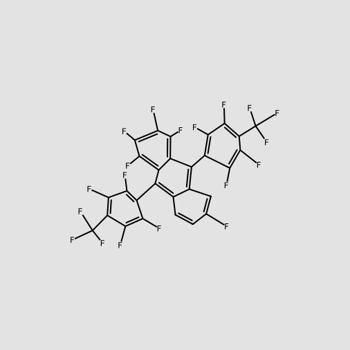 Fc1ccc2c(-c3c(F)c(F)c(C(F)(F)F)c(F)c3F)c3c(F)c(F)c(F)c(F)c3c(-c3c(F)c(F)c(C(F)(F)F)c(F)c3F)c2c1